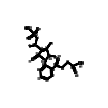 Cc1c(N(C)CS(=O)(=O)O)c(=O)n(-c2ccccc2C(=O)CCC(=O)O)n1C